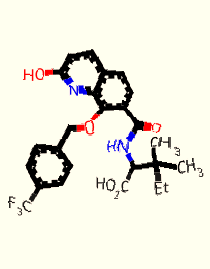 CCC(C)(C)C(NC(=O)c1ccc2ccc(O)nc2c1OCc1ccc(C(F)(F)F)cc1)C(=O)O